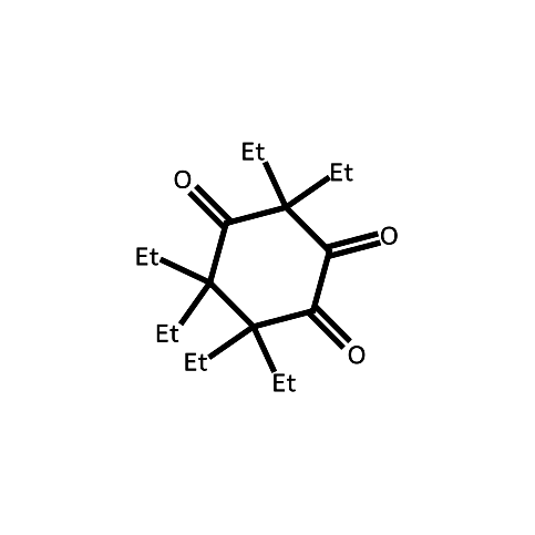 CCC1(CC)C(=O)C(=O)C(CC)(CC)C(CC)(CC)C1=O